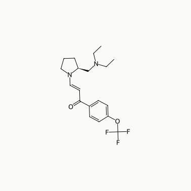 CCN(CC)C[C@@H]1CCCN1/C=C/C(=O)c1ccc(OC(F)(F)F)cc1